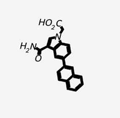 NC(=O)c1cn(CC(=O)O)c2ccc(-c3ccc4ccccc4c3)cc12